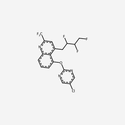 FCC(F)C(F)Cc1cc(C(F)(F)F)nc2cccc(Oc3ncc(Cl)cn3)c12